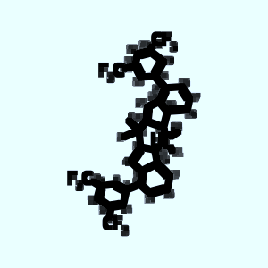 CC1(C)C2=Cc3c(-c4cc(C(F)(F)F)cc(C(F)(F)F)c4)cccc3[CH]2[Hf]([CH3])([CH3])[CH]2C1=Cc1c(-c3cc(C(F)(F)F)cc(C(F)(F)F)c3)cccc12